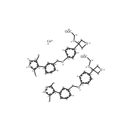 Cc1noc(C)c1-c1cccc(COc2ccc(C3(OCC(=O)[O-])COC3)cc2)c1.Cc1noc(C)c1-c1cccc(COc2ccc(C3(OCC(=O)[O-])COC3)cc2)c1.[Ca+2]